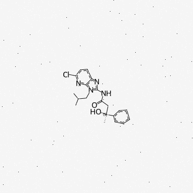 CC(C)Cn1c(NC(=O)C[C@](C)(O)c2ccccc2)nc2ccc(Cl)nc21